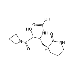 O=C(O)NC(C[C@@H]1CCCNC1=O)C(O)C(=O)N1CCC1